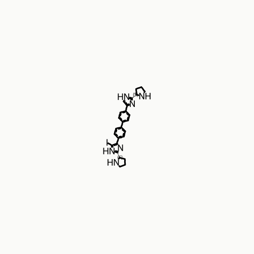 Ic1[nH]c([C@@H]2CCCN2)nc1-c1ccc(-c2ccc(-c3c[nH]c([C@@H]4CCCN4)n3)cc2)cc1